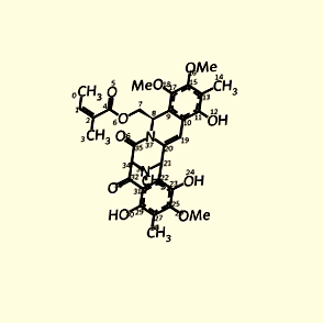 C/C=C(/C)C(=O)OC[C@H]1c2c(c(O)c(C)c(OC)c2OC)C=C2C3c4c(O)c(OC)c(C)c(O)c4C(=O)C(C(=O)N21)N3C